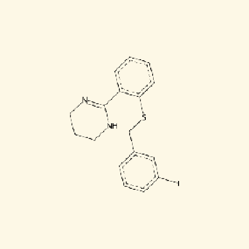 Ic1cccc(CSc2ccccc2C2=NCCCN2)c1